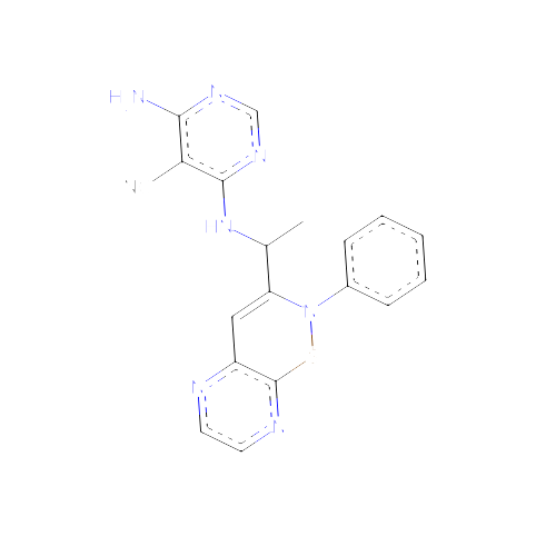 CC(Nc1ncnc(N)c1C#N)C1=Cc2nccnc2SN1c1ccccc1